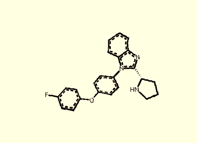 Fc1ccc(Oc2ccc(-n3c([C@@H]4CCCN4)nc4ccccc43)cc2)cc1